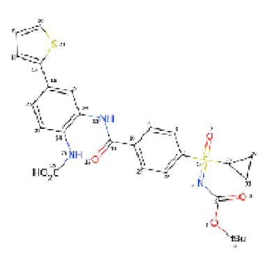 CC(C)(C)OC(=O)N=S(=O)(c1ccc(C(=O)Nc2cc(-c3cccs3)ccc2NC(=O)O)cc1)C1CC1